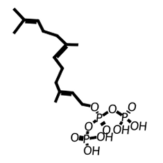 CC(C)=CCCC(C)=CCCC(C)=CCOP(=O)(OP(=O)(O)O)OP(=O)(O)O